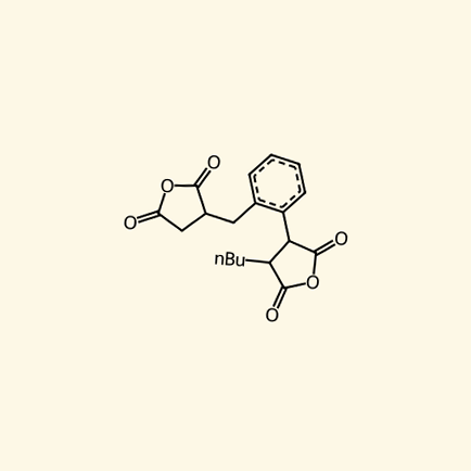 CCCCC1C(=O)OC(=O)C1c1ccccc1CC1CC(=O)OC1=O